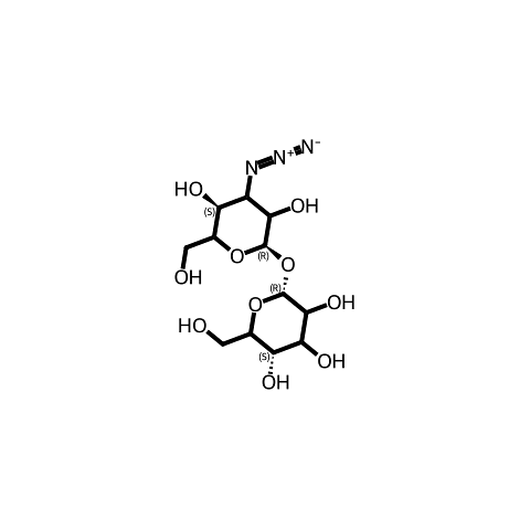 [N-]=[N+]=NC1C(O)[C@@H](O[C@H]2OC(CO)[C@@H](O)C(O)C2O)OC(CO)[C@H]1O